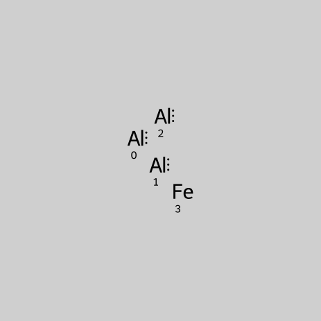 [Al].[Al].[Al].[Fe]